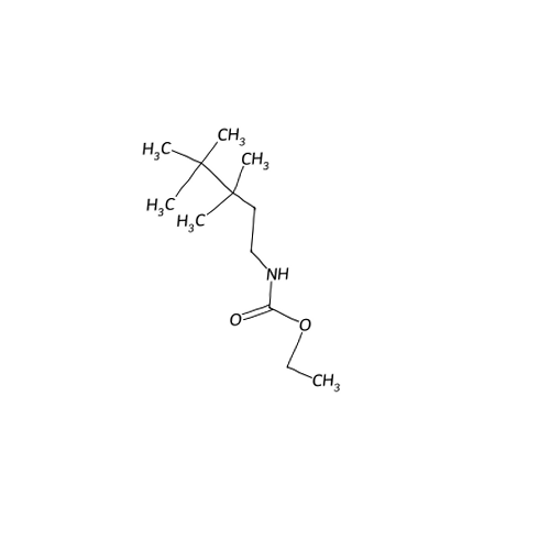 CCOC(=O)NCCC(C)(C)C(C)(C)C